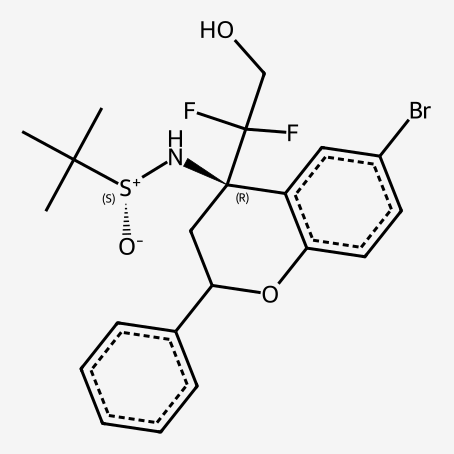 CC(C)(C)[S@@+]([O-])N[C@]1(C(F)(F)CO)CC(c2ccccc2)Oc2ccc(Br)cc21